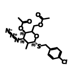 CC(=O)OCC1O[C@H](SCc2ccc(Cl)cc2)C(C)[C@@H](N=[N+]=[N-])[C@H]1OC(C)=O